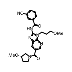 COCCCn1c(NC(=O)c2cccc(C#N)c2)nc2cc(C(=O)N3CC[C@H](OC)C3)cnc21